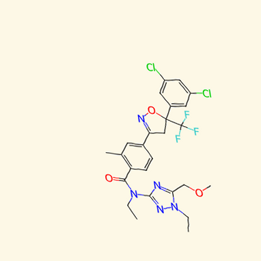 CCN(C(=O)c1ccc(C2=NOC(c3cc(Cl)cc(Cl)c3)(C(F)(F)F)C2)cc1C)c1nc(COC)n(CC)n1